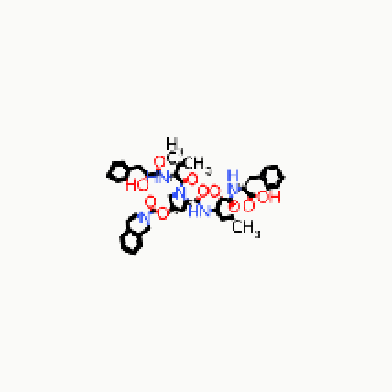 CCCC(NC(=O)[C@@H]1C[C@@H](OC(=O)N2CCc3ccccc3C2)CN1C(=O)[C@@H](NC(=O)C(O)Cc1ccccc1)C(C)C)C(=O)C(=O)N[C@@H](Cc1ccccc1)C(=O)O